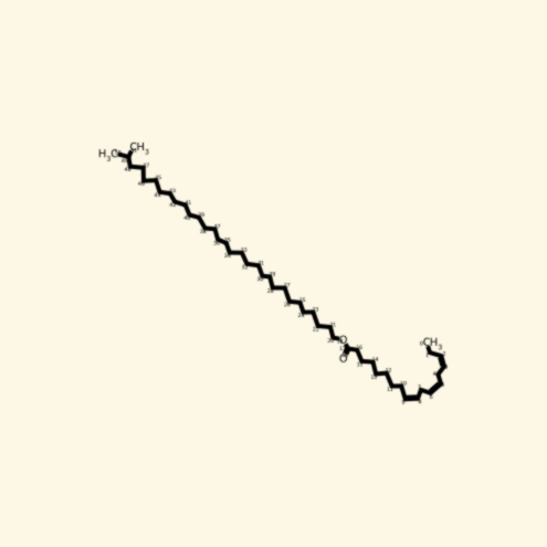 CC/C=C\C/C=C\C/C=C\CCCCCCCC(=O)OCCCCCCCCCCCCCCCCCCCCCCCCCCCCCC(C)C